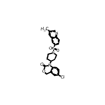 Cc1cnc2ccc(S(=O)(=O)N3CCC(N4C(=O)OCc5cc(Cl)ccc54)CC3)cc2c1